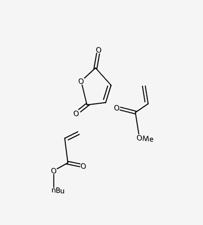 C=CC(=O)OC.C=CC(=O)OCCCC.O=C1C=CC(=O)O1